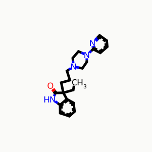 CCC1(CCCN2CCN(c3ccccn3)CC2)C(=O)Nc2ccccc21